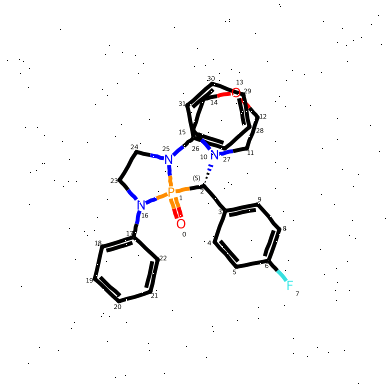 O=P1([C@@H](c2ccc(F)cc2)N2CCOCC2)N(c2ccccc2)CCN1c1ccccc1